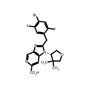 CC1(C)COC[C@H]1n1c(Cc2cc(F)c(Br)cc2F)nc2cnc(C(=O)O)cc21